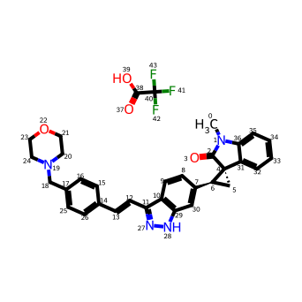 CN1C(=O)[C@@]2(C[C@H]2c2ccc3c(/C=C/c4ccc(CN5CCOCC5)cc4)n[nH]c3c2)c2ccccc21.O=C(O)C(F)(F)F